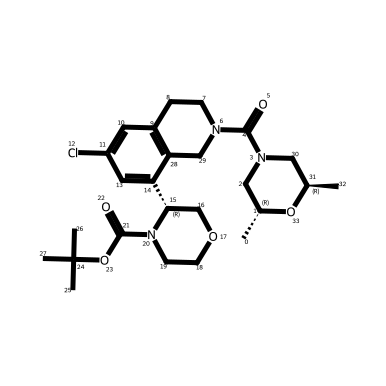 C[C@@H]1CN(C(=O)N2CCc3cc(Cl)cc([C@@H]4COCCN4C(=O)OC(C)(C)C)c3C2)C[C@@H](C)O1